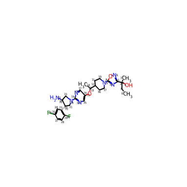 CC[C@@](C)(O)c1noc(N2CCC([C@H](C)Oc3cnc(N4C[C@H](c5cc(F)ccc5F)[C@@H](N)C4)nc3)CC2)n1